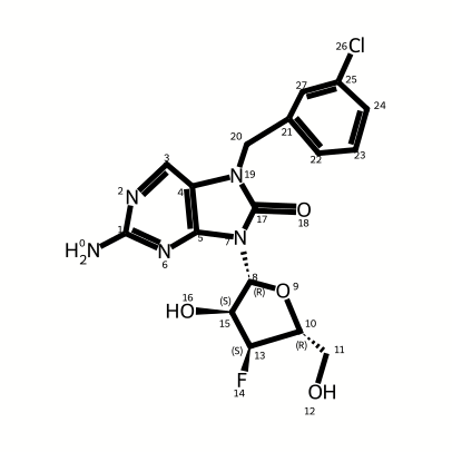 Nc1ncc2c(n1)n([C@@H]1O[C@H](CO)[C@@H](F)[C@H]1O)c(=O)n2Cc1cccc(Cl)c1